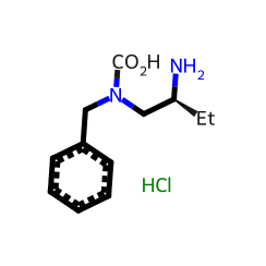 CC[C@H](N)CN(Cc1ccccc1)C(=O)O.Cl